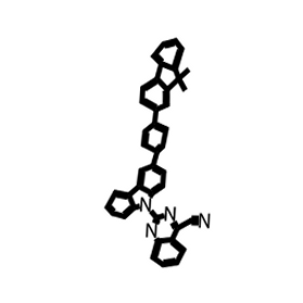 CC1(C)c2ccccc2-c2ccc(-c3ccc(-c4ccc5c(c4)c4ccccc4n5-c4nc(C#N)c5ccccc5n4)cc3)cc21